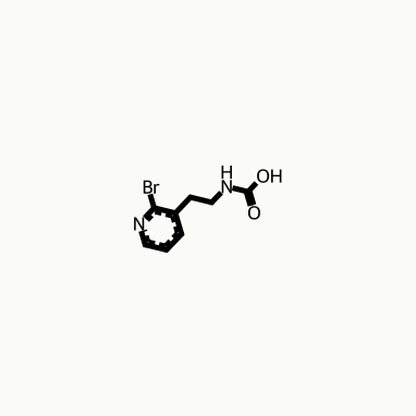 O=C(O)NCCc1cccnc1Br